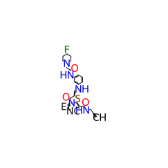 C#CCNC(=O)C(C#N)=c1sc(=CNc2cccc(NC(=O)CN3CCC(F)CC3)c2)c(=O)n1CC